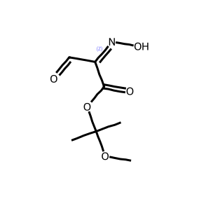 COC(C)(C)OC(=O)/C(C=O)=N\O